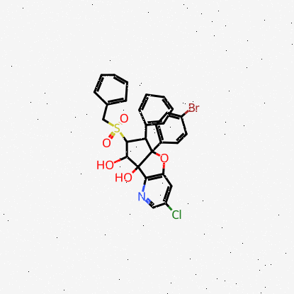 O=S(=O)(Cc1ccccc1)C1C(O)C2(O)c3ncc(Cl)cc3OC2(c2ccc(Br)cc2)C1c1ccccc1